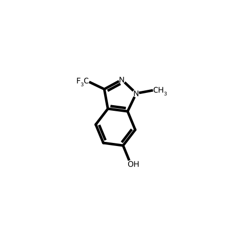 Cn1nc(C(F)(F)F)c2ccc(O)cc21